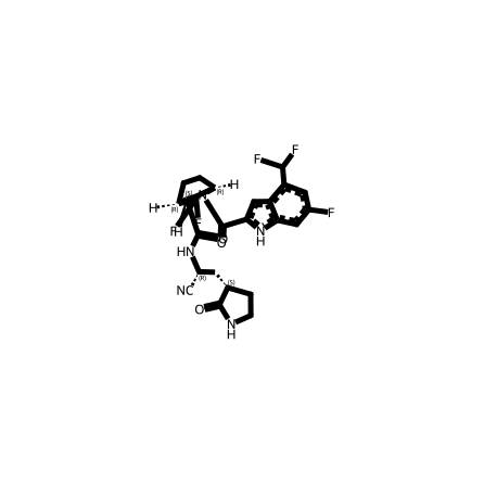 N#C[C@@H](C[C@@H]1CCNC1=O)NC(=O)[C@@H]1[C@H]2CC[C@H](CC2(F)F)N1C(=O)c1cc2c(C(F)F)cc(F)cc2[nH]1